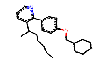 CCCCCC(C)c1cccnc1-c1ccc(OCC2CC[CH]CC2)cc1